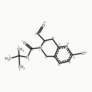 CC(C)(C)OC(=O)N1Cc2ccc(Cl)nc2CC1C=O